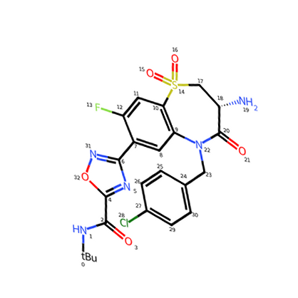 CC(C)(C)NC(=O)c1nc(-c2cc3c(cc2F)S(=O)(=O)C[C@H](N)C(=O)N3Cc2ccc(Cl)cc2)no1